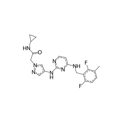 Cc1ccc(F)c(CNc2ccnc(Nc3cnn(CC(=O)NC4CC4)c3)n2)c1F